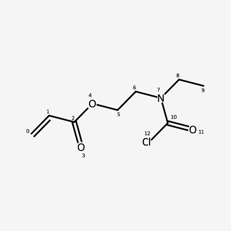 C=CC(=O)OCCN(CC)C(=O)Cl